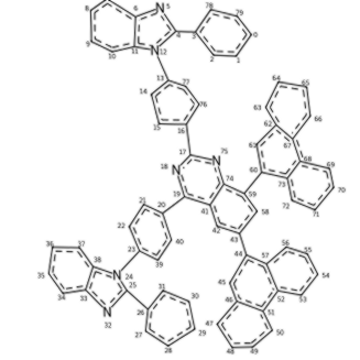 c1ccc(-c2nc3ccccc3n2-c2ccc(-c3nc(-c4ccc(-n5c(-c6ccccc6)nc6ccccc65)cc4)c4cc(-c5cc6ccccc6c6ccccc56)cc(-c5cc6ccccc6c6ccccc56)c4n3)cc2)cc1